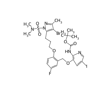 Cc1nn(S(=O)(=O)N(C)C)c(CCCOc2ccc(F)cc2COc2cc(I)cnc2NC(=O)OC(C)(C)C)c1Br